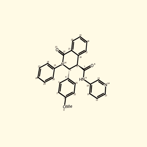 COc1ccc([C@H]2[C@H](C(=O)Nc3cccnc3)c3ccccc3C(=O)N2c2ccccc2)cc1